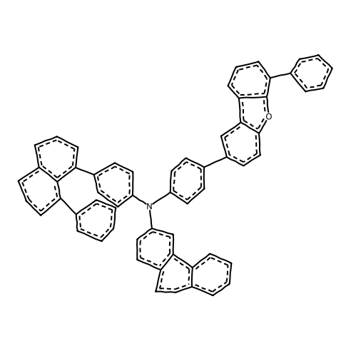 c1ccc(-c2cccc3c2oc2ccc(-c4ccc(N(c5ccc(-c6cccc7cccc(-c8ccccc8)c67)cc5)c5ccc6ccc7ccccc7c6c5)cc4)cc23)cc1